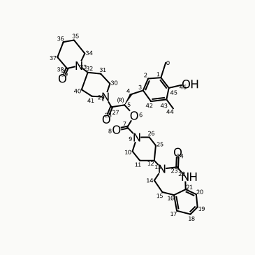 Cc1cc(C[C@@H](OC(=O)N2CCC(N3CCc4ccccc4NC3=O)CC2)C(=O)N2CCC(N3CCCCC3=O)CC2)cc(C)c1O